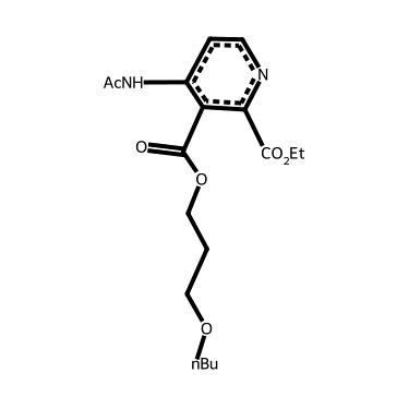 CCCCOCCCOC(=O)c1c(NC(C)=O)ccnc1C(=O)OCC